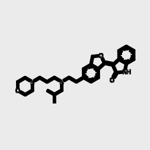 CC(C)CN(CCCN1CCOCC1)CCc1ccc2c(c1)COC2=C1C(=O)Nc2ccccc21